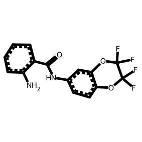 Nc1ccccc1C(=O)Nc1ccc2c(c1)OC(F)(F)C(F)(F)O2